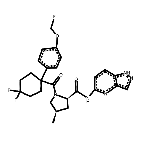 O=C(Nc1ccc2[nH]ncc2n1)[C@H]1C[C@@H](F)CN1C(=O)C1(c2ccc(OCF)cc2)CCC(F)(F)CC1